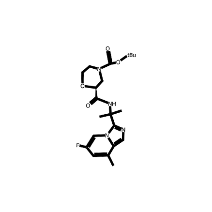 Cc1cc(F)cn2c(C(C)(C)NC(=O)[C@@H]3CN(C(=O)OC(C)(C)C)CCO3)ncc12